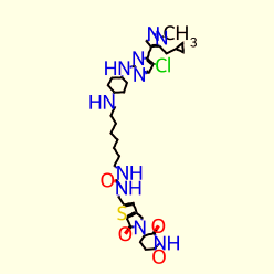 Cn1ncc(-c2nc(NC3CCC(NCCCCCCCCNC(=O)NCc4cc5c(s4)C(=O)N(C4CCC(=O)NC4=O)C5)CC3)ncc2Cl)c1CC1CC1